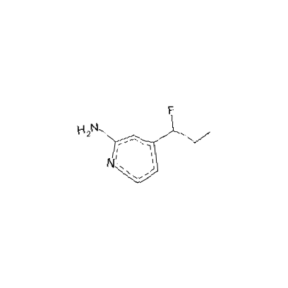 CCC(F)c1ccnc(N)c1